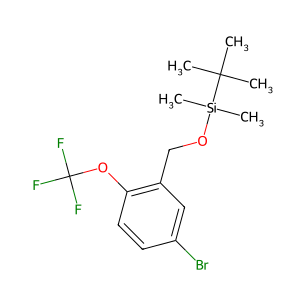 CC(C)(C)[Si](C)(C)OCc1cc(Br)ccc1OC(F)(F)F